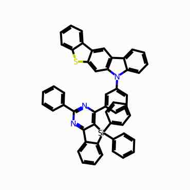 c1ccc(-c2nc(-c3cccc(-n4c5ccccc5c5cc6c(cc54)sc4ccccc46)c3)c3c(n2)-c2ccccc2[Si]3(c2ccccc2)c2ccccc2)cc1